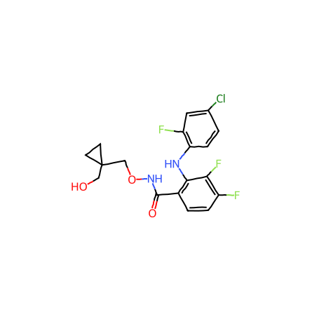 O=C(NOCC1(CO)CC1)c1ccc(F)c(F)c1Nc1ccc(Cl)cc1F